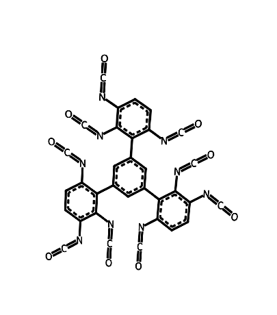 O=C=Nc1ccc(N=C=O)c(-c2cc(-c3c(N=C=O)ccc(N=C=O)c3N=C=O)cc(-c3c(N=C=O)ccc(N=C=O)c3N=C=O)c2)c1N=C=O